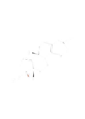 C#C[C@]1(O)CC[C@H]2[C@@H]3[C@H](C)CC4=C(CCC(=C)C4)[C@H]3CC[C@@]21C